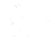 COC(=O)c1ccc(Br)cc1C1(C#N)COC1